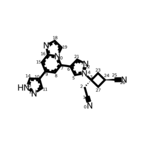 N#CC[C@]1(n2cc(-c3cc(-c4cn[nH]c4)cc4nccn34)cn2)C[C@@H](C#N)C1